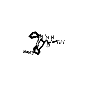 COc1ccc(CC(NC(=O)NCCO)c2nc3ccccc3[nH]2)cc1